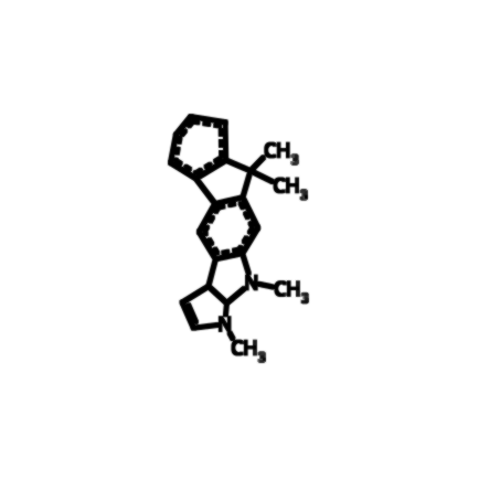 CN1C=CC2c3cc4c(cc3N(C)C21)C(C)(C)c1ccccc1-4